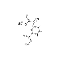 CC(C)(C)OC(=O)c1cc(C(C#N)C(=O)OC(C)(C)C)ccn1